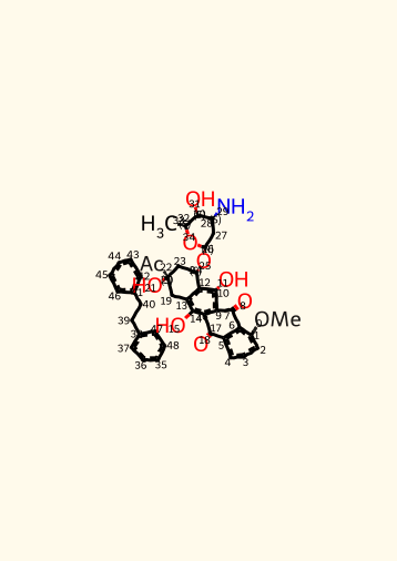 COc1cccc2c1C(=O)c1c(O)c3c(c(O)c1C2=O)C[C@@](O)(C(C)=O)C[C@@H]3O[C@H]1C[C@H](N)[C@H](O)[C@H](C)O1.c1ccc(CCc2ccccc2)cc1